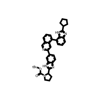 CC(C)(C)OC(=O)N1CCCC1c1nc2ccc(-c3cc4c(-c5cccc6nc(C7CCCC7)[nH]c56)cccc4cn3)cc2[nH]1